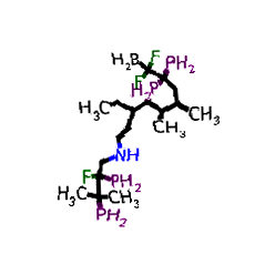 BC(F)(F)C(P)(P)CC(C)C(C)CC(CC)CCNCC(F)(P)C(C)(C)P